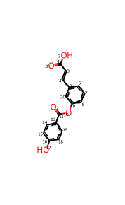 O=C(O)/C=C/c1cccc(OC(=O)c2ccc(O)cc2)c1